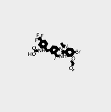 COCCOc1cc2c(N[C@H](C)c3cccc(Cc4ccc(C(F)(F)F)cc4NC(=O)O)c3)nc(C)nc2cc1Br